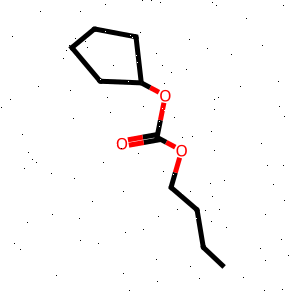 CCCCOC(=O)OC1CCCC1